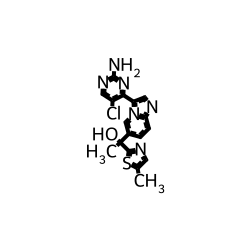 Cc1cnc(C(C)(O)c2ccc3ncc(-c4nc(N)ncc4Cl)n3c2)s1